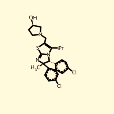 CC(C)C1=C(CN2CC[C@@H](O)C2)SC2=N[C@@](C)(c3ccc(Cl)cc3)[C@@H](c3ccc(Cl)cc3)N21